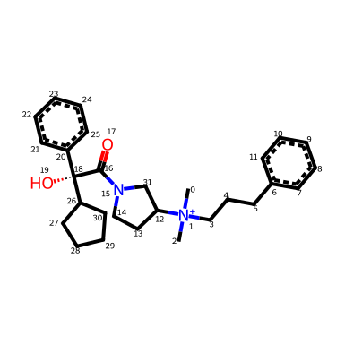 C[N+](C)(CCCc1ccccc1)C1CCN(C(=O)[C@](O)(c2ccccc2)C2CCCC2)C1